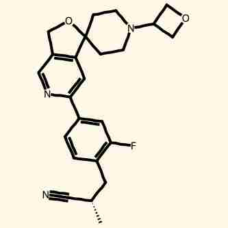 C[C@H](C#N)Cc1ccc(-c2cc3c(cn2)COC32CCN(C3COC3)CC2)cc1F